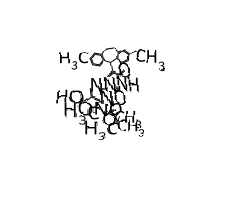 CCc1ccc2c(c1)C=Cc1cc(C)ccc1C2c1cn(-c2ncc(C(=O)O)c(N(C)C(=O)OC(C)(C)C)n2)c(=O)[nH]c1=O